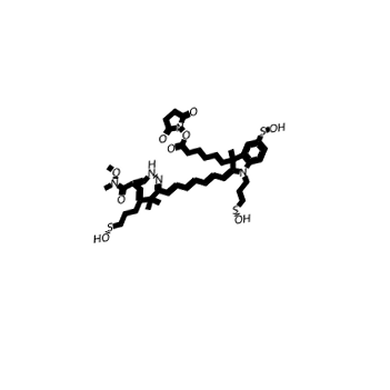 CON(C)C(=O)C1=C\N/N=C(/C=C/C=C/C=C/C=C2/N(CCCSO)c3ccc(SO)cc3C2(C)CCCCCC(=O)ON2C(=O)CCC2=O)C(C)(C)\C(CCCSO)=C\1